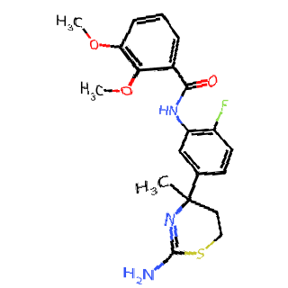 COc1cccc(C(=O)Nc2cc(C3(C)CCSC(N)=N3)ccc2F)c1OC